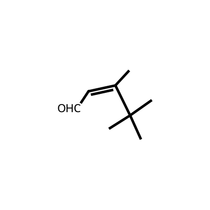 CC(=CC=O)C(C)(C)C